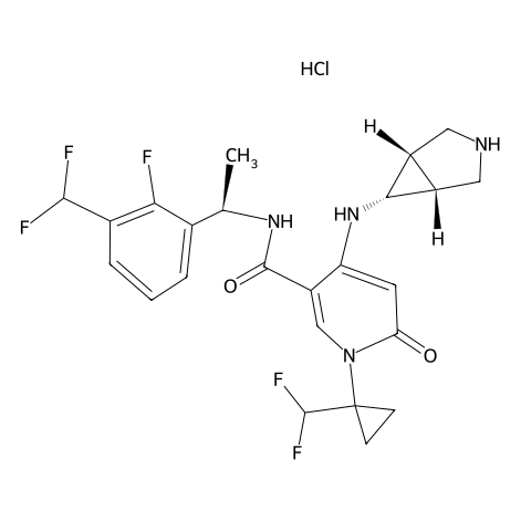 C[C@@H](NC(=O)c1cn(C2(C(F)F)CC2)c(=O)cc1N[C@@H]1[C@@H]2CNC[C@@H]21)c1cccc(C(F)F)c1F.Cl